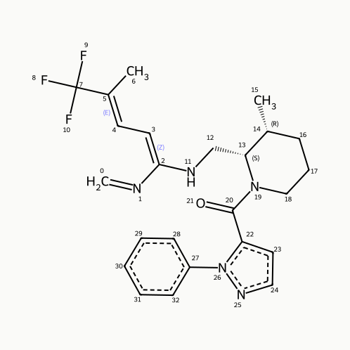 C=N/C(=C\C=C(/C)C(F)(F)F)NC[C@@H]1[C@H](C)CCCN1C(=O)c1ccnn1-c1ccccc1